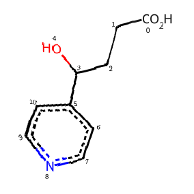 O=C(O)CCC(O)c1ccncc1